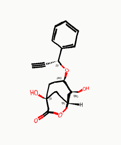 C#C[C@@H](O[C@@H]1C[C@]2(O)C[C@@H](OC2=O)[C@@H]1O)c1ccccc1